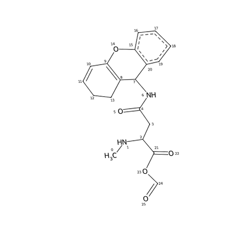 CNC(CC(=O)NC1C2=C(C=CCC2)Oc2ccccc21)C(=O)OC=O